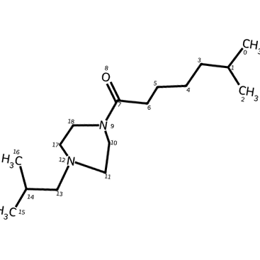 CC(C)CCCCC(=O)N1CCN(CC(C)C)CC1